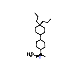 CCCC1(CCC)CCC(C2CCC(/S(C)=P\P)CC2)CC1